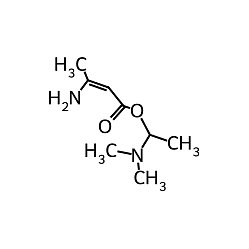 C/C(N)=C/C(=O)OC(C)N(C)C